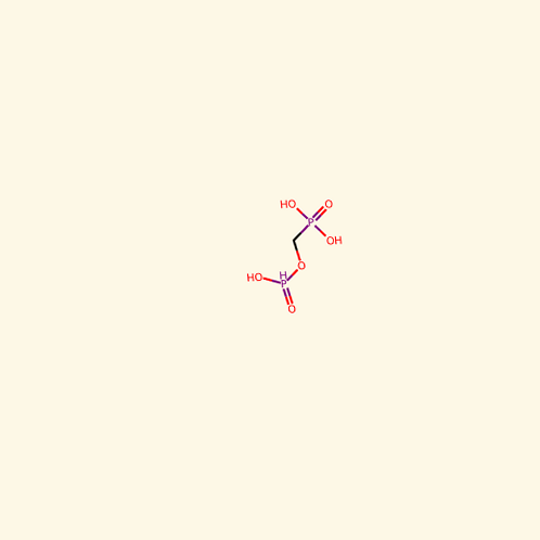 O=[PH](O)OCP(=O)(O)O